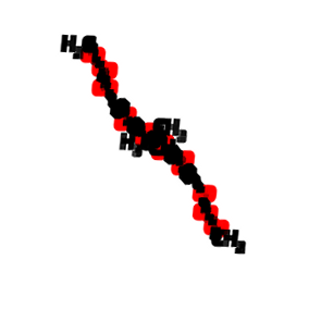 C=CC(=O)OCCOC(=O)CCC(=O)OCCCc1ccc(OC(=O)[C@H]2CC[C@H](C(=O)Oc3cc(C)c(OC(=O)[C@H]4CC[C@H](C(=O)Oc5ccc(CCCOC(=O)CCC(=O)OCCOC(=O)C=C)cc5)CC4)c(C)c3C)CC2)cc1